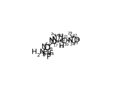 CC(C)n1nc(-c2cnc(N)c(C(F)(F)F)c2)cc1[C@H]1[C@@H]2C[C@@H](N3CCOC[C@@H]3C)C[C@@H]21